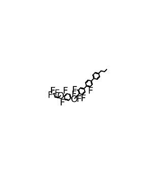 CCCc1ccc(-c2ccc(-c3cc(F)c(C(F)(F)Oc4cc(F)c(O/C=C\C(F)(F)F)c(F)c4)c(F)c3)c(F)c2)cc1